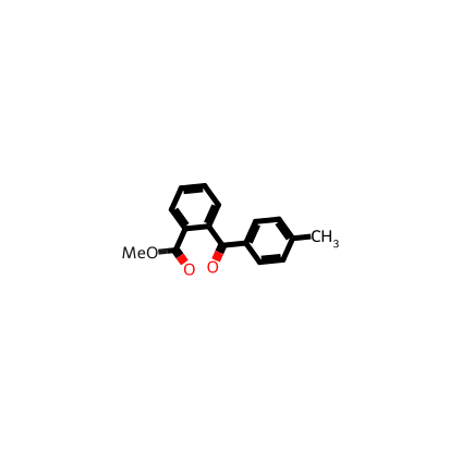 COC(=O)c1ccccc1C(=O)c1ccc(C)cc1